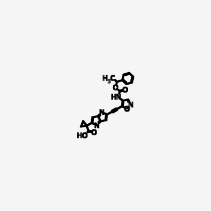 CC(OC(=O)Nc1cnoc1C#CC1=CC2=NC(C3(C(=O)O)CC3)=CC2=N1)c1ccccc1